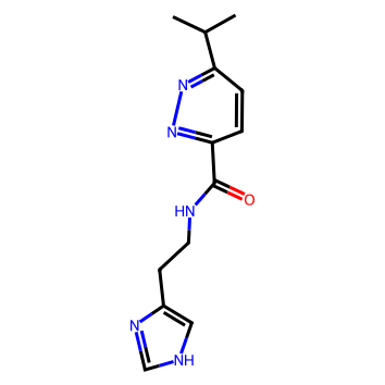 CC(C)c1ccc(C(=O)NCCc2c[nH]cn2)nn1